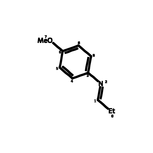 CC/C=N/c1ccc(OC)cc1